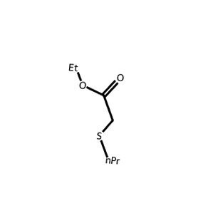 [CH2]CCSCC(=O)OCC